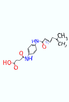 C=C(C)C/C=C/C(=O)Nc1ccc(NC(=O)CCC(=O)O)cc1